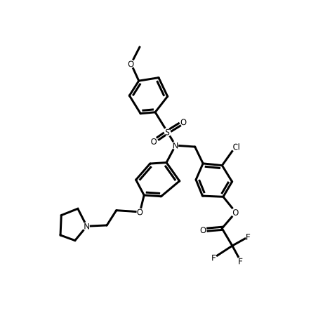 COc1ccc(S(=O)(=O)N(Cc2ccc(OC(=O)C(F)(F)F)cc2Cl)c2ccc(OCCN3CCCC3)cc2)cc1